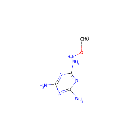 NOC=O.Nc1nc(N)nc(N)n1